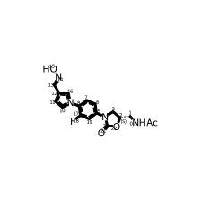 CC(=O)NC[C@H]1CN(c2ccc(-n3ccc(C=NO)c3)c(F)c2)C(=O)O1